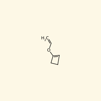 C=COC1=CCC1